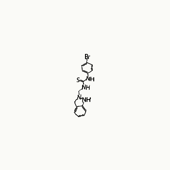 S=C(NCN1Cc2ccccc2N1)Nc1ccc(Br)cc1